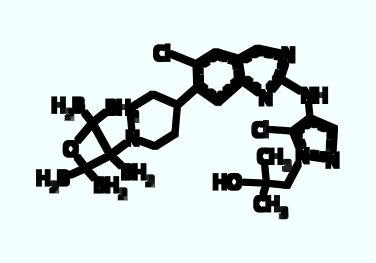 BC1(B)OC(B)(B)C1(B)N1CCC(c2cc3nc(Nc4cnn(CC(C)(C)O)c4Cl)ncc3cc2Cl)CC1